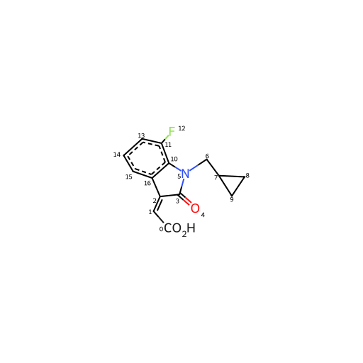 O=C(O)C=C1C(=O)N(CC2CC2)c2c(F)cccc21